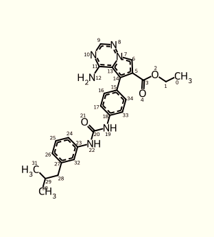 CCOC(=O)c1cn2ncnc(N)c2c1-c1ccc(NC(=O)Nc2cccc(CC(C)C)c2)cc1